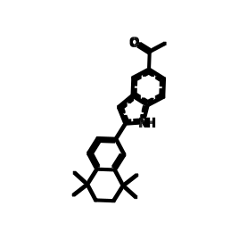 CC(=O)c1ccc2[nH]c(C3=C=C=C4C(=C3)C(C)(C)CCC4(C)C)cc2c1